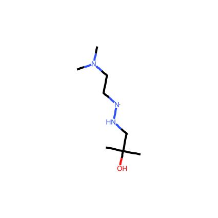 CN(C)CC[N]NCC(C)(C)O